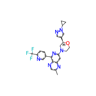 Cc1cnc2c(-c3ccc(C(F)(F)F)nc3)nc(N3CCO[C@H](c4cnn(C5CC5)c4)C3)cc2n1